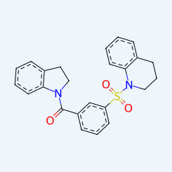 O=C(c1cccc(S(=O)(=O)N2CCCc3ccccc32)c1)N1CCc2ccccc21